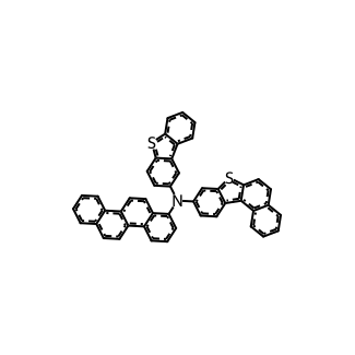 c1ccc2c(c1)ccc1c3cccc(N(c4ccc5c(c4)sc4ccc6ccccc6c45)c4ccc5sc6ccccc6c5c4)c3ccc21